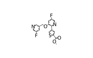 COC(=O)c1cc(-c2ncc(F)cc2OCc2cncc(F)c2)cs1